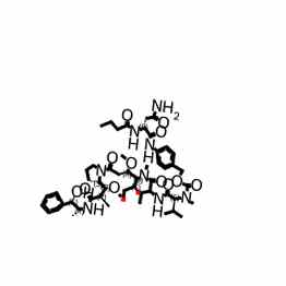 CCCC(=O)N[C@H](CC(N)=O)C(=O)Nc1ccc(COC(=O)N(C)[C@H](C(=O)NC(C(=O)N(C)[C@@H]([C@@H](C)CC)[C@@H](CC(=O)N2CCC[C@H]2[C@H](OC)[C@@H](C)C(=O)N[C@H](C)[C@@H](O)c2ccccc2)OC)C(C)C)C(C)C)cc1